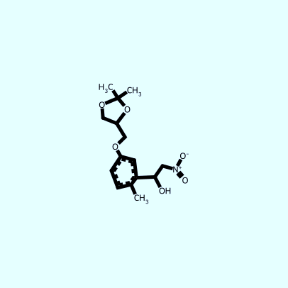 Cc1ccc(OCC2COC(C)(C)O2)cc1C(O)C[N+](=O)[O-]